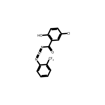 O=C(N=[N+]=Nc1ccccc1C(F)(F)F)c1cc(Cl)ccc1O